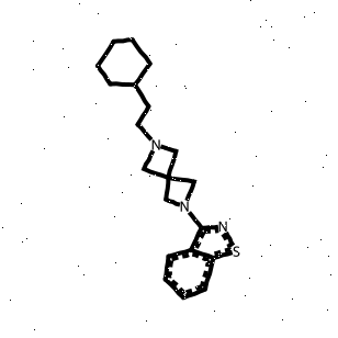 c1ccc2c(N3CC4(CN(CCC5CCCCC5)C4)C3)nsc2c1